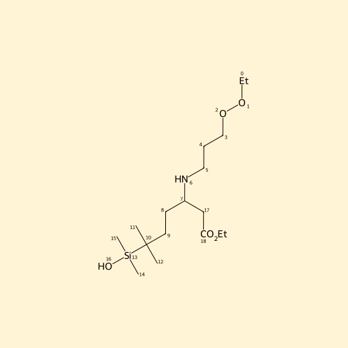 CCOOCCCNC(CCC(C)(C)[Si](C)(C)O)CC(=O)OCC